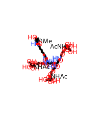 COC1CC(O)CC1NC(=O)CCCCCCCCCCC(=O)NC(CCC(=O)NC(CCC(=O)NCCOCCOC1OC(CO)C(O)C(O)C1NC(C)=O)C(=O)NCCOCCOC1OC(CO)C(O)C(O)C1NC(C)=O)C(=O)NCCOCCOC1O[C@H](CO)C(O)C(O)C1NC(C)=O